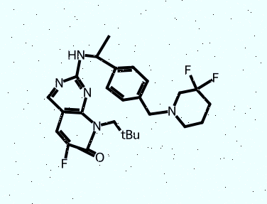 CC(Nc1ncc2cc(F)c(=O)n(CC(C)(C)C)c2n1)c1ccc(CN2CCCC(F)(F)C2)cc1